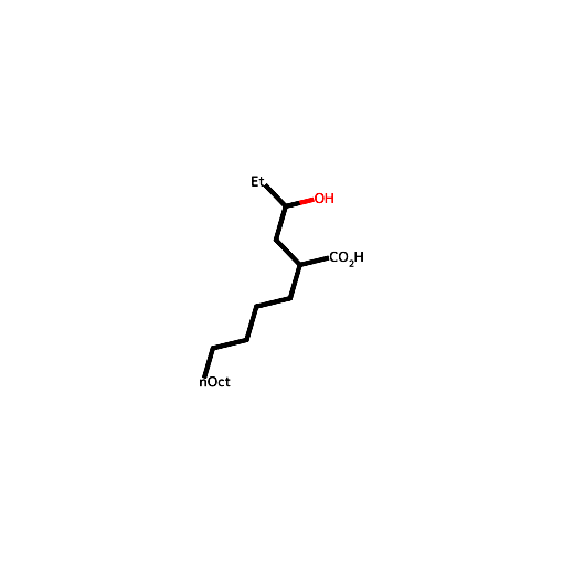 CCCCCCCCCCCCC(CC(O)CC)C(=O)O